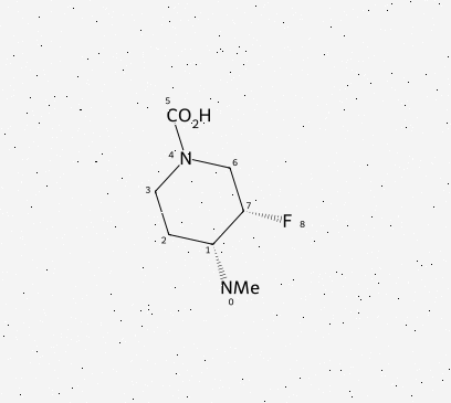 CN[C@@H]1CCN(C(=O)O)C[C@@H]1F